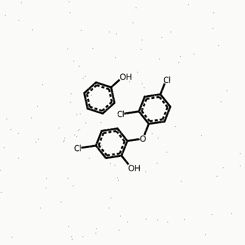 Oc1cc(Cl)ccc1Oc1ccc(Cl)cc1Cl.Oc1ccccc1